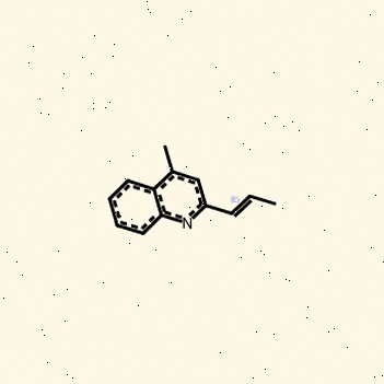 C/C=C/c1cc(C)c2ccccc2n1